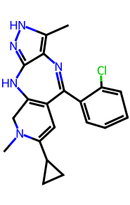 Cc1[nH]nc2c1N=C(c1ccccc1Cl)C1=C(CN(C)C(C3CC3)=C1)N2